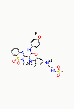 CCCCCCCCCCN1C(/C(=N/c2ccc(N(CC)CCNS(C)(=O)=O)cc2C)C(=O)Nc2ccc(OCC)cc2)=Nc2ccccc2S1(=O)=O